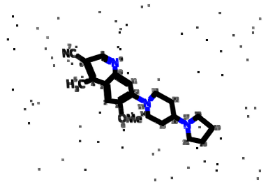 COc1cc2c(C)c(C#N)cnc2cc1N1CCC(N2CCCC2)CC1